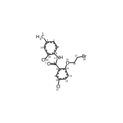 Cc1ccc(NC(=O)c2cc(Cl)ccc2OCCBr)c(Cl)c1